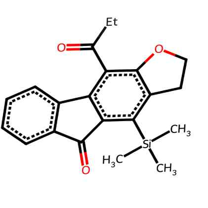 CCC(=O)c1c2c(c([Si](C)(C)C)c3c1-c1ccccc1C3=O)CCO2